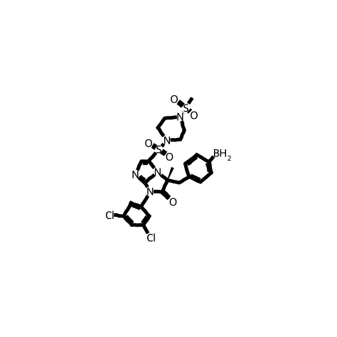 Bc1ccc(C[C@]2(C)C(=O)N(c3cc(Cl)cc(Cl)c3)c3ncc(S(=O)(=O)N4CCN(S(C)(=O)=O)CC4)n32)cc1